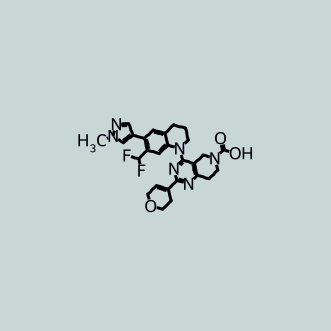 Cn1cc(-c2cc3c(cc2C(F)F)N(c2nc(C4=CCOCC4)nc4c2CN(C(=O)O)CC4)CCC3)cn1